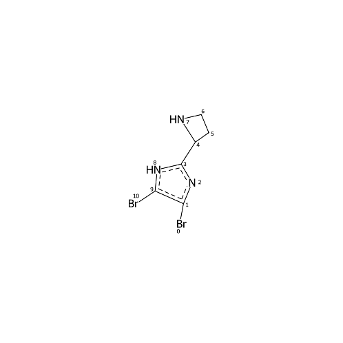 Brc1nc(C2CCN2)[nH]c1Br